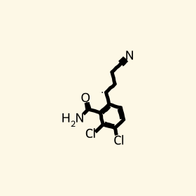 N#CCC[CH]c1ccc(Cl)c(Cl)c1C(N)=O